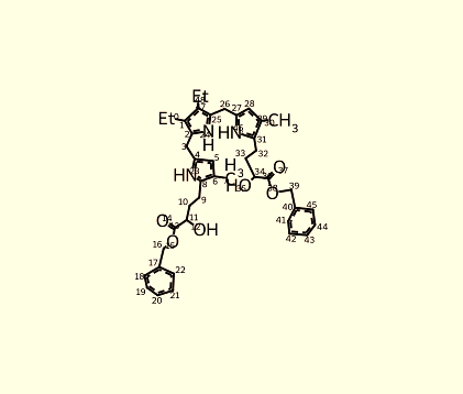 CCc1c(Cc2cc(C)c(CCC(O)C(=O)OCc3ccccc3)[nH]2)[nH]c(Cc2cc(C)c(CCC(O)C(=O)OCc3ccccc3)[nH]2)c1CC